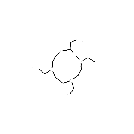 CC(=O)CN1CCN(CC(=O)O)CCNC(CC(=O)O)CN(CC(=O)O)CC1